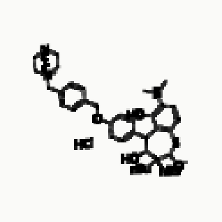 CCCCC1(CCCC)C([O-])Sc2ccc(N(C)C)c(O)c2C(c2ccc(OCc3ccc(C[N+]45CCN(CC4)CC5)cc3)cc2)C1O.Cl